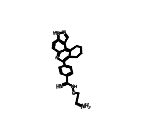 N=C(NOCCN)c1ccc(-c2nc3ccc4[nH]ncc4c3c3c2CCCC3)cc1